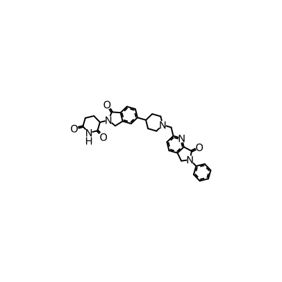 O=C1CCC(N2Cc3cc(C4CCN(Cc5ccc6c(n5)C(=O)N(c5ccccc5)C6)CC4)ccc3C2=O)C(=O)N1